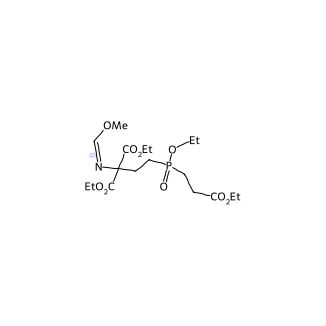 CCOC(=O)CCP(=O)(CCC(/N=C\OC)(C(=O)OCC)C(=O)OCC)OCC